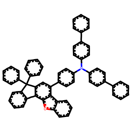 c1ccc(-c2ccc(N(c3ccc(-c4ccccc4)cc3)c3ccc(-c4cc5c(c6oc7ccccc7c46)-c4ccccc4C5(c4ccccc4)c4ccccc4)cc3)cc2)cc1